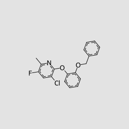 Cc1nc(Oc2ccccc2OCc2ccccc2)c(Cl)cc1F